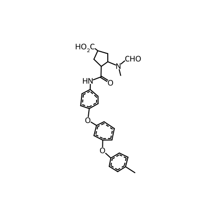 Cc1ccc(Oc2cccc(Oc3ccc(NC(=O)C4CC(C(=O)O)CC4N(C)C=O)cc3)c2)cc1